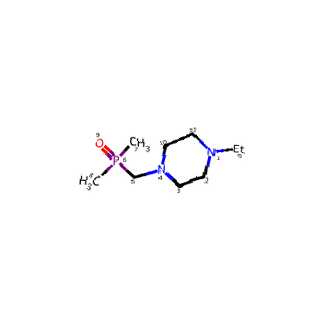 CCN1CCN(CP(C)(C)=O)CC1